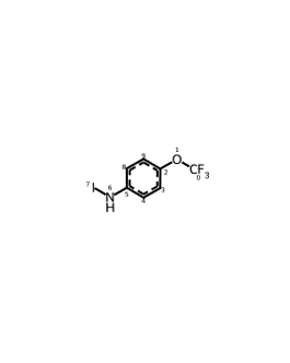 FC(F)(F)Oc1ccc(NI)cc1